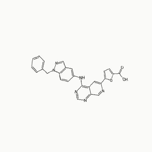 O=C(O)c1ccc(-c2cc3c(Nc4ccc5c(cnn5Cc5ccccc5)c4)ncnc3cn2)o1